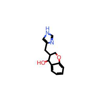 OC1c2ccccc2OCC1Cc1c[nH]cn1